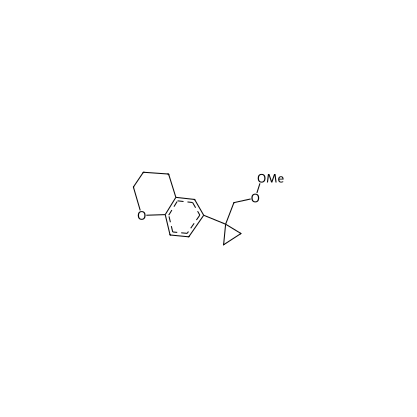 COOCC1(c2ccc3c(c2)CCCO3)CC1